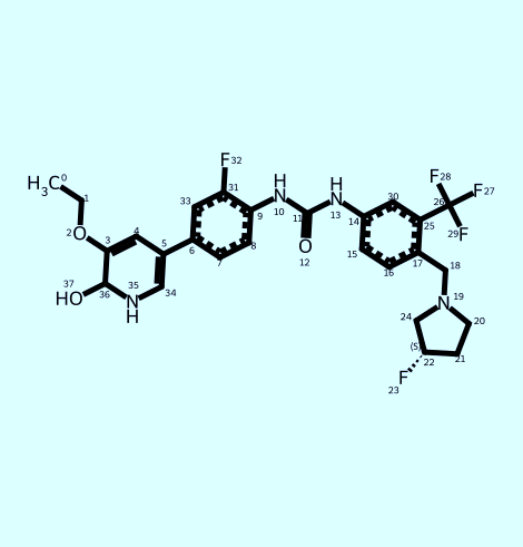 CCOC1=CC(c2ccc(NC(=O)Nc3ccc(CN4CC[C@H](F)C4)c(C(F)(F)F)c3)c(F)c2)=CNC1O